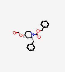 O=CO[C@H]1CCN(C(=O)OCc2ccccc2)[C@H](Cc2ccccc2)C1